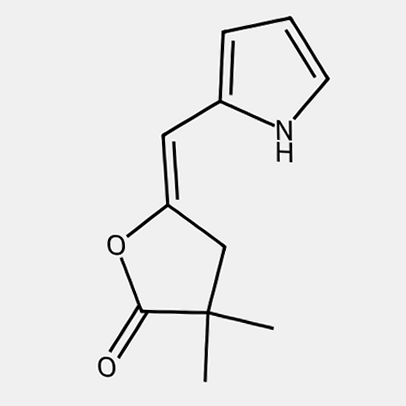 CC1(C)C/C(=C\c2ccc[nH]2)OC1=O